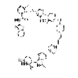 Cc1cc(OC2CCC(CCCN3CCN(c4ccc5c(C6CCC(=O)NC6=O)nn(C)c5c4)CC3)CC2)ccc1-c1ccc(N2CCc3cccc(C(=O)Nc4nc5ccccc5s4)c3C2)nc1C(=O)O